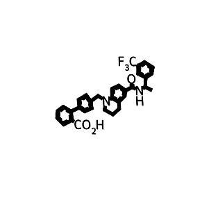 CC(NC(=O)c1ccc2c(c1)CCCN2Cc1ccc(-c2ccccc2C(=O)O)cc1)c1cccc(C(F)(F)F)c1